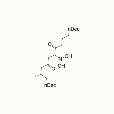 CCCCCCCCCCCCCC(=O)C(CC(=O)CC(C)CCCCCCCCCCC)N(O)O